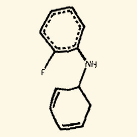 Fc1ccccc1NC1C=CC=CC1